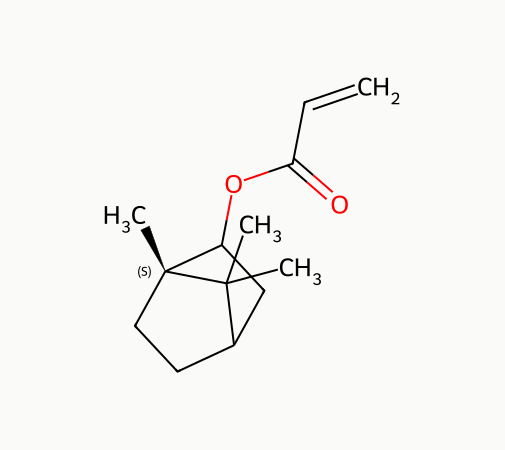 C=CC(=O)OC1CC2CC[C@@]1(C)C2(C)C